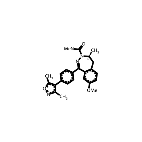 CNC(=O)N1N=C(c2ccc(-c3c(C)noc3C)cc2)c2cc(OC)ccc2C[C@@H]1C